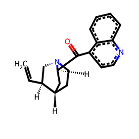 C=C[C@H]1C[N@]2CC[C@H]1C[C@@H]2C(=O)c1ccnc2ccccc12